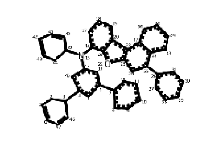 C1=CCC(c2cc(-c3ccccc3)cc(N(c3cccc4c3oc3cc(-c5ccccc5)c5ccccc5c34)C3C=CC=CC3)c2)C=C1